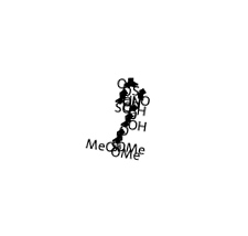 CO[Si](CCCOCC(O)COC(=O)CNC(=O)C(C)SCC(C)C(=O)OCC(O)CS(=O)(=O)O)(OC)OC